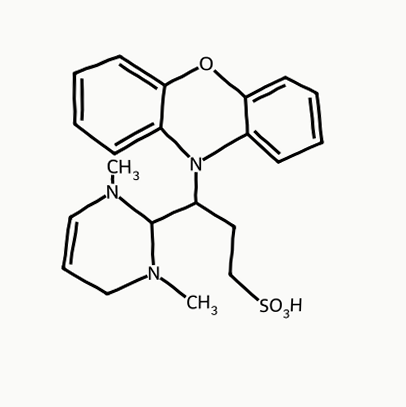 CN1C=CCN(C)C1C(CCS(=O)(=O)O)N1c2ccccc2Oc2ccccc21